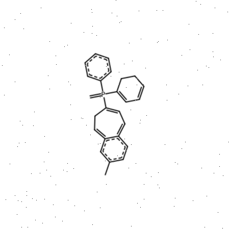 C=P(C1=CC=c2ccc(C)cc2=CC1)(C1=CC=CCC1)c1ccccc1